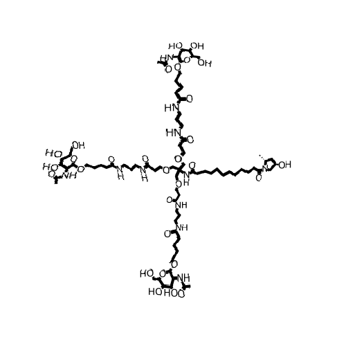 CC(=O)NC1C(OCCCCC(=O)NCCCNC(=O)CCOCC(COCCC(=O)NCCCNC(=O)CCCCOC2OC(CO)C(O)C(O)C2NC(C)=O)(COCCC(=O)NCCCNC(=O)CCCCOC2OC(CO)C(O)C(O)C2NC(C)=O)NC(=O)CCCCCCCCCCC(=O)N2C[C@H](O)C[C@H]2C)OC(CO)C(O)C1O